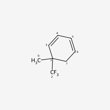 CC1(C(F)(F)F)C=CC=[C]C1